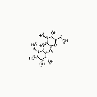 OC[C@H]1C[C@H](O[C@H]2O[C@H](CO)[C@@H](O)[C@H](O)[C@@H]2O)[C@H](O)[C@@H](O)[C@@H]1O